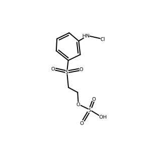 O=S(=O)(O)OCCS(=O)(=O)c1cccc(NCl)c1